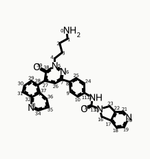 NCCCCn1nc(-c2ccc(NC(=O)N3Cc4ccncc4C3)cc2)cc(-c2cccc3ncccc23)c1=O